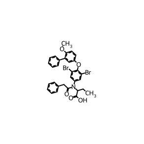 CCC(C(=O)O)N(C(=O)Cc1ccccc1)c1cc(Br)c(Oc2ccc(OC)c(-c3ccccc3)c2)c(Br)c1